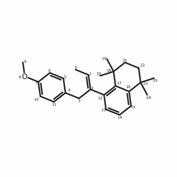 CC=C(Cc1ccc(OC)cc1)c1cccc2c1C(C)(C)CCC2(C)C